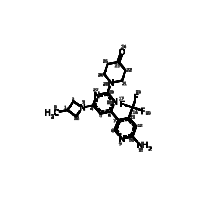 CC1CN(c2cc(-c3cnc(N)cc3C(F)(F)F)nc(N3CCC(=O)CC3)n2)C1